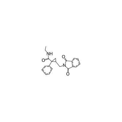 CCNC(=O)C1(c2ccccc2)CC1CN1C(=O)c2ccccc2C1=O